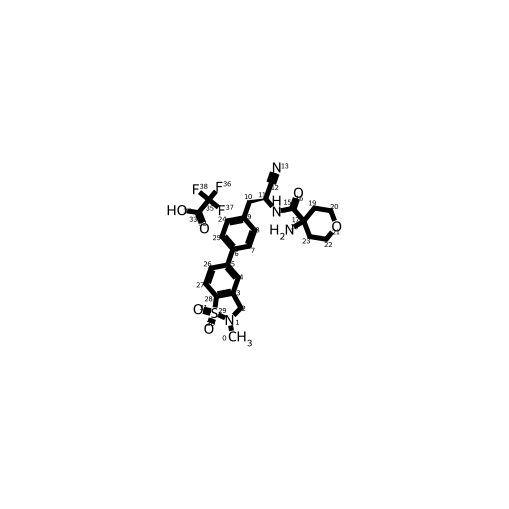 CN1Cc2cc(-c3ccc(C[C@@H](C#N)NC(=O)C4(N)CCOCC4)cc3)ccc2S1(=O)=O.O=C(O)C(F)(F)F